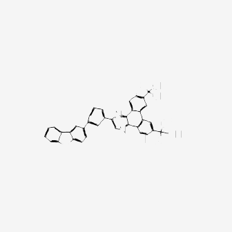 CC(C)(C)c1ccc2c(c1)c1cc(C(C)(C)C)ccc1c1nc(-c3cccc(-c4ccc5oc6ccccc6c5c4)c3)cnc21